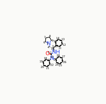 O=C(N[C@H](CN1CCCC1)c1ccccc1)N(c1ccccc1)c1ccccc1